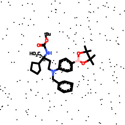 CC(C)(C)OC(=O)N[C@](CCN(Cc1ccccc1)c1ccc(B2OC(C)(C)C(C)(C)O2)cc1)(C(=O)O)C1CCCC1